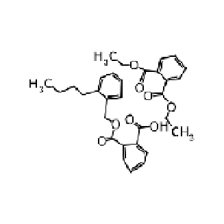 CCCCc1ccccc1COC(=O)c1ccccc1C(=O)O.CCOC(=O)c1ccccc1C(=O)OCC